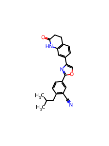 CC(C)Cc1ccc(-c2nc(-c3ccc4c(c3)NC(=O)CC4)co2)cc1C#N